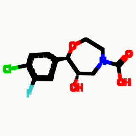 O=C(O)N1CCO[C@H](c2ccc(Cl)c(F)c2)[C@@H](O)C1